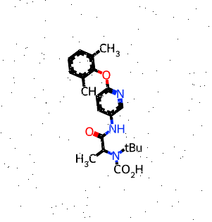 Cc1cccc(C)c1Oc1ccc(NC(=O)C(C)N(C(=O)O)C(C)(C)C)cn1